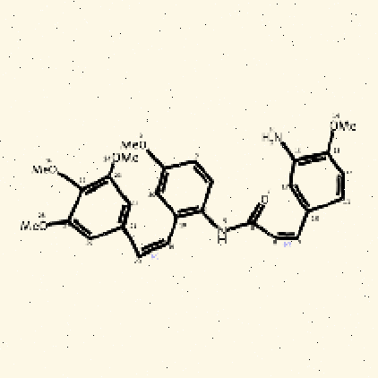 COc1ccc(NC(=O)/C=C\c2ccc(OC)c(N)c2)c(/C=C\c2cc(OC)c(OC)c(OC)c2)c1